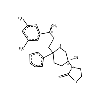 C[C@@H](OCC1(c2ccccc2)CC[C@](C#N)(N2CCOC2=O)CN1)c1cc(C(F)(F)F)cc(C(F)(F)F)c1